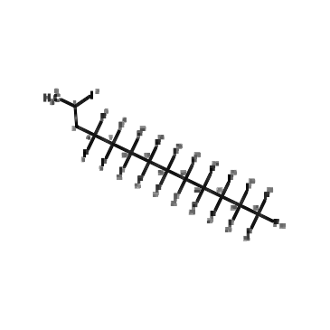 CC(I)CC(F)(F)C(F)(F)C(F)(F)C(F)(F)C(F)(F)C(F)(F)C(F)(F)C(F)(F)C(F)(F)C(F)(F)F